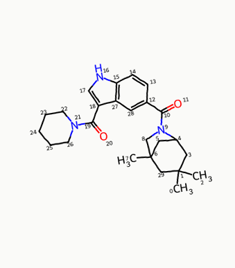 CC1(C)CC2CC(C)(CN2C(=O)c2ccc3[nH]cc(C(=O)N4CCCCC4)c3c2)C1